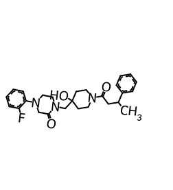 CC(CC(=O)N1CCC(O)(CN2CCN(c3ccccc3F)CC2=O)CC1)c1ccccc1